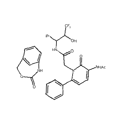 CC(=O)Nc1ccc(-c2ccccc2)n(CC(=O)NC(C(C)C)C(O)C(F)(F)F)c1=O.O=C1Nc2cccc(c2)CO1